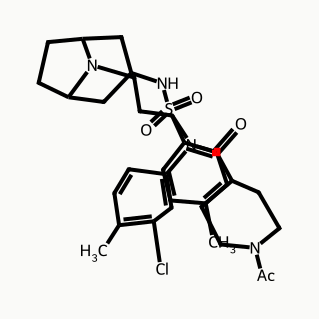 CC(=O)N1CCC(C(=O)N(CCCN2C3CCC2CC(NS(=O)(=O)c2ccc(C)cc2)C3)c2ccc(C)c(Cl)c2)CC1